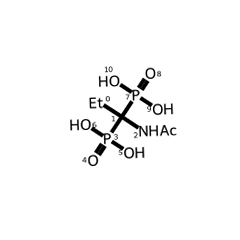 CCC(NC(C)=O)(P(=O)(O)O)P(=O)(O)O